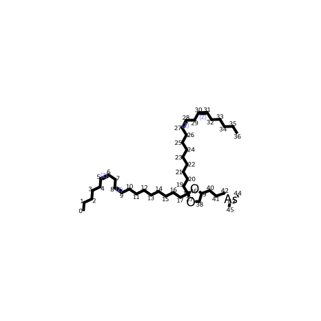 CCCCC/C=C\C/C=C\CCCCCCCCC1(CCCCCCCC/C=C\C/C=C\CCCCC)OCC(CCC[As](C)C)O1